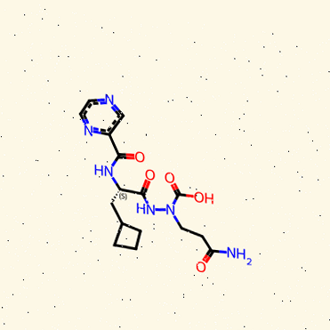 NC(=O)CCN(NC(=O)[C@H](CC1CCC1)NC(=O)c1cnccn1)C(=O)O